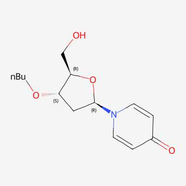 CCCCO[C@H]1C[C@H](n2ccc(=O)cc2)O[C@@H]1CO